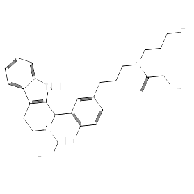 C=C(CC(C)(C)C)N(CCCF)CCCc1ccc(CC)c(C2c3[nH]c4ccccc4c3C[C@@H](C)N2CC(F)(F)F)c1